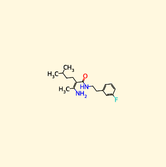 CC(N)=C(CCC(C)C)C(=O)NCCc1cccc(F)c1